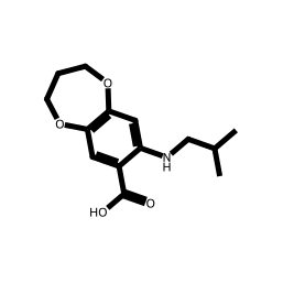 CC(C)CNc1cc2c(cc1C(=O)O)OCCCO2